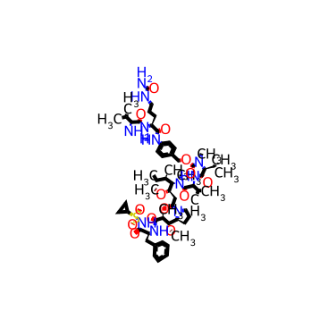 CC[C@H](C)[C@@H]([C@@H](CC(=O)N1CCC[C@H]1[C@H](OC)[C@@H](C)C(=O)N[C@@H](Cc1ccccc1)C(=O)NS(=O)(=O)C1CC1)OC)N(C)C(=O)[C@@H](NC(=O)[C@H](C(C)C)N(C)C(=O)OCc1ccc(NC(=O)[C@H](CCCNC(N)=O)NC(=O)[C@@H](N)C(C)C)cc1)C(C)C